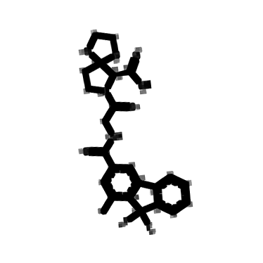 Cc1cc(C(=O)NCC(=O)N2CCC3(OCCO3)[C@H]2C(=O)O)cc2c1C(F)(F)c1ccccc1-2